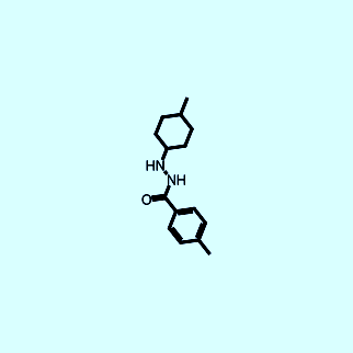 Cc1ccc(C(=O)NNC2CCC(C)CC2)cc1